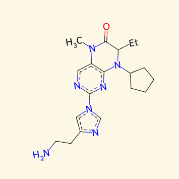 CCC1C(=O)N(C)c2cnc(-n3cnc(CCN)c3)nc2N1C1CCCC1